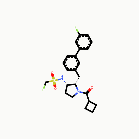 O=C(C1CCC1)N1CC[C@H](NS(=O)(=O)CF)[C@@H]1Cc1cccc(-c2cccc(F)c2)c1